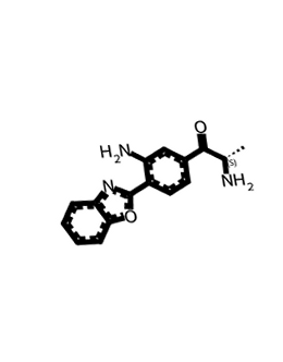 C[C@H](N)C(=O)c1ccc(-c2nc3ccccc3o2)c(N)c1